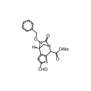 COC(=O)C1c2sc(C=O)cc2[C@H]2CN1C(=O)N2OCc1ccccc1